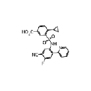 N#Cc1cc(NS(=O)(=O)c2cc(C(=O)O)ccc2C2CC2)c(-c2ccccn2)cc1F